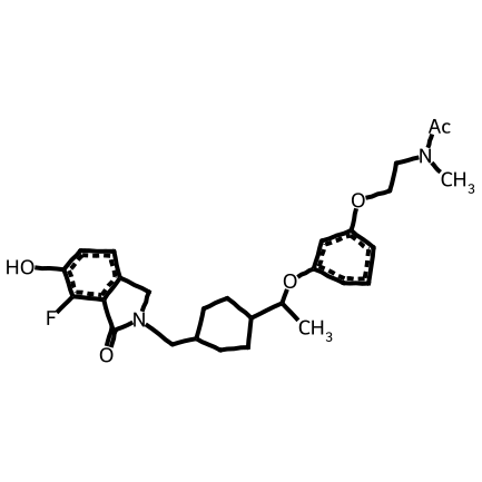 CC(=O)N(C)CCOc1cccc(OC(C)C2CCC(CN3Cc4ccc(O)c(F)c4C3=O)CC2)c1